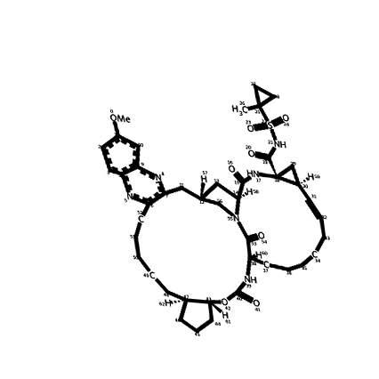 COc1ccc2nc3c(nc2c1)C[C@@H]1C[C@H]2C(=O)N[C@]4(C(=O)NS(=O)(=O)C5(C)CC5)C[C@H]4/C=C\CCCCC[C@H](NC(=O)O[C@@H]4CCC[C@H]4CCCCC3)C(=O)N2C1